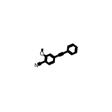 COc1cc(C#Cc2ccccc2)ccc1C#N